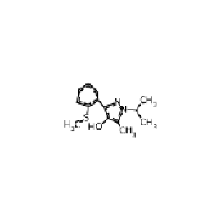 CSc1ccccc1-c1nn(C(C)C)c(C)c1O